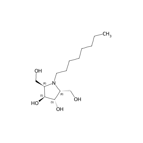 CCCCCCCCN1[C@H](CO)[C@H](O)[C@@H](O)[C@H]1CO